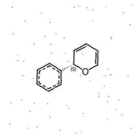 C1=CO[C@H](c2ccccc2)C=C1